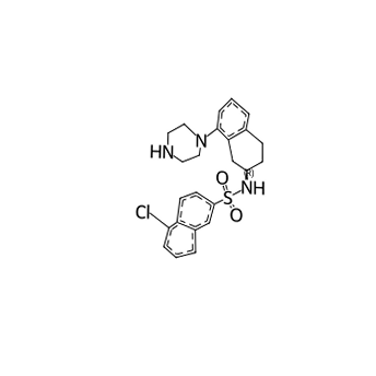 O=S(=O)(N[C@@H]1CCc2cccc(N3CCNCC3)c2C1)c1ccc2c(Cl)cccc2c1